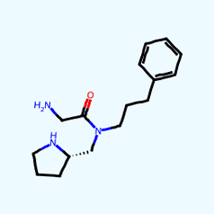 NCC(=O)N(CCCc1ccccc1)C[C@@H]1CCCN1